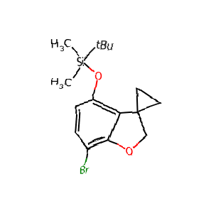 CC(C)(C)[Si](C)(C)Oc1ccc(Br)c2c1C1(CC1)CO2